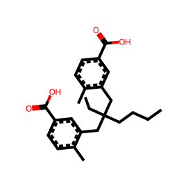 CCCCC(CC)(Cc1cc(C(=O)O)ccc1C)Cc1cc(C(=O)O)ccc1C